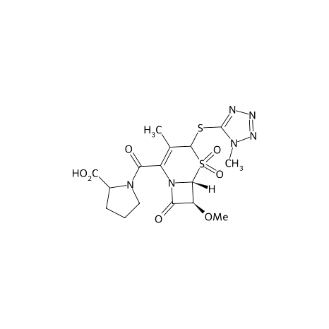 CO[C@H]1C(=O)N2C(C(=O)N3CCCC3C(=O)O)=C(C)C(Sc3nnnn3C)S(=O)(=O)[C@H]12